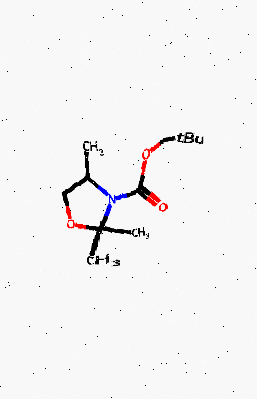 CC1COC(C)(C)N1C(=O)OC(C)(C)C